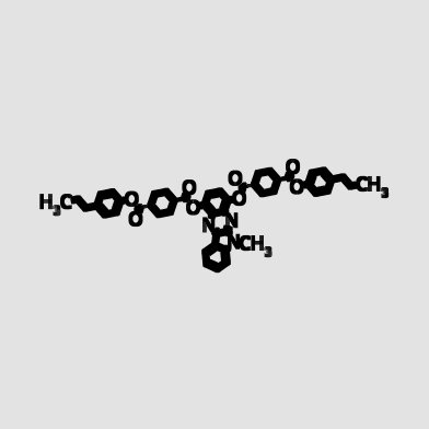 CCCc1ccc(OC(=O)[C@H]2CC[C@H](C(=O)Oc3ccc(OC(=O)[C@H]4CC[C@H](C(=O)Oc5ccc(CCC)cc5)CC4)c4nc5c(nc34)c3ccccc3n5C)CC2)cc1